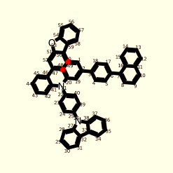 c1cc(-c2ccc(-c3cccc4ccccc34)cc2)cc(N(c2ccc(-n3c4ccccc4c4ccccc43)cc2)c2ccccc2-c2ccc3c(c2)oc2ccccc23)c1